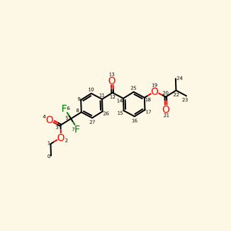 CCOC(=O)C(F)(F)c1ccc(C(=O)c2cccc(OC(=O)C(C)C)c2)cc1